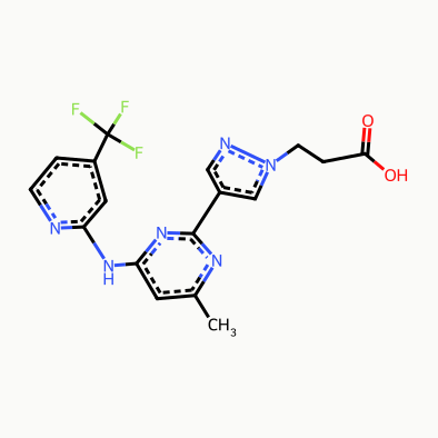 Cc1cc(Nc2cc(C(F)(F)F)ccn2)nc(-c2cnn(CCC(=O)O)c2)n1